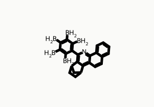 Bc1c(B)c(B)c(-c2nc3c(ccc4ccccc43)c3c2C2CCC3C2)c(B)c1B